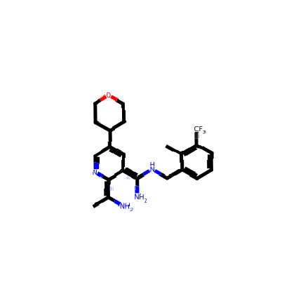 C/C(N)=c1\ncc(C2CCOCC2)c\c1=C(\N)NCc1cccc(C(F)(F)F)c1C